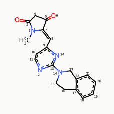 CN1C(=O)CC(=O)/C1=C/c1ccnc(N2CCc3ccccc3C2)n1